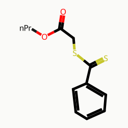 CCCOC(=O)CSC(=S)c1ccccc1